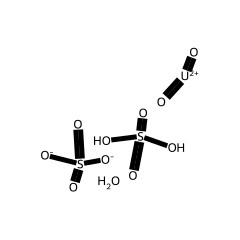 O.O=S(=O)(O)O.O=S(=O)([O-])[O-].[O]=[U+2]=[O]